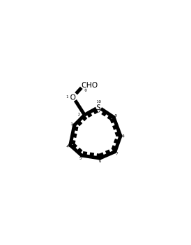 O=COc1cccccccs1